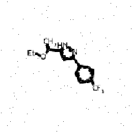 C=C(OCC)c1cc(-c2ccc(C(F)(F)F)cc2)n[nH]1